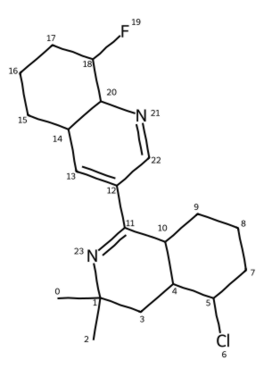 CC1(C)CC2C(Cl)CCCC2C(C2=CC3CCCC(F)C3N=C2)=N1